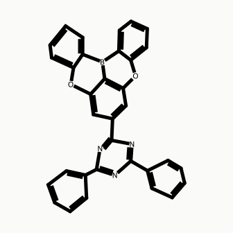 c1ccc(-c2nc(-c3ccccc3)nc(-c3cc4c5c(c3)Oc3ccccc3B5c3ccccc3O4)n2)cc1